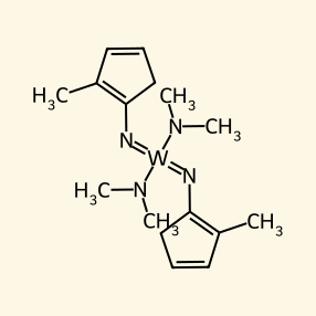 CC1=C([N]=[W](=[N]C2=C(C)C=CC2)([N](C)C)[N](C)C)CC=C1